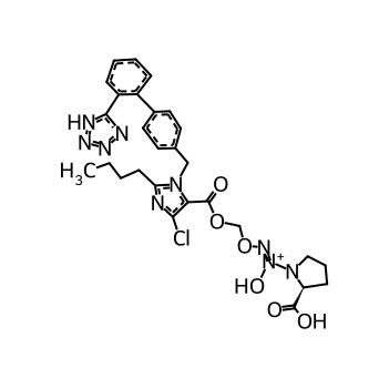 CCCCc1nc(Cl)c(C(=O)OCO/N=[N+](\O)N2CCC[C@H]2C(=O)O)n1Cc1ccc(-c2ccccc2-c2nnn[nH]2)cc1